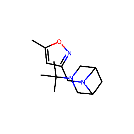 Cc1cc(CN2C3CC2CN(C(C)(C)C)C3)no1